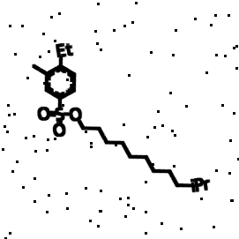 CCc1ccc(S(=O)(=O)OCCCCCCCCCC(C)C)cc1C